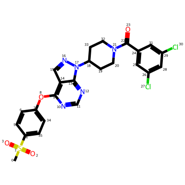 CS(=O)(=O)c1ccc(Oc2ncnc3c2cnn3C2CCN(C(=O)c3cc(Cl)cc(Cl)c3)CC2)cc1